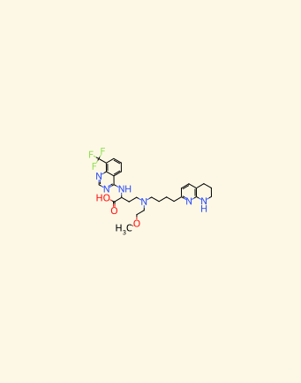 COCCN(CCCCc1ccc2c(n1)NCCC2)CCC(Nc1ncnc2c(C(F)(F)F)cccc12)C(=O)O